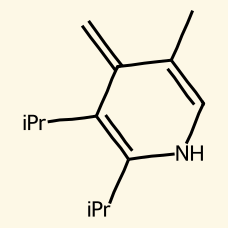 C=C1C(C)=CNC(C(C)C)=C1C(C)C